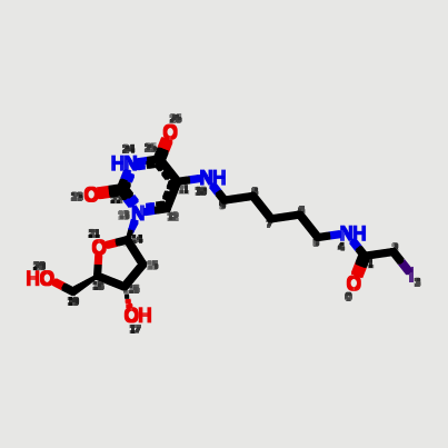 O=C(CI)NCCCCCNc1cn([C@H]2C[C@H](O)[C@@H](CO)O2)c(=O)[nH]c1=O